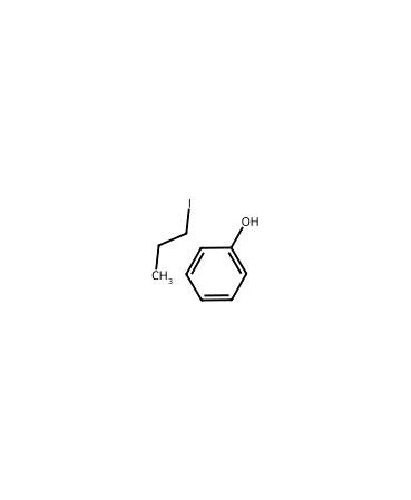 CCCI.Oc1ccccc1